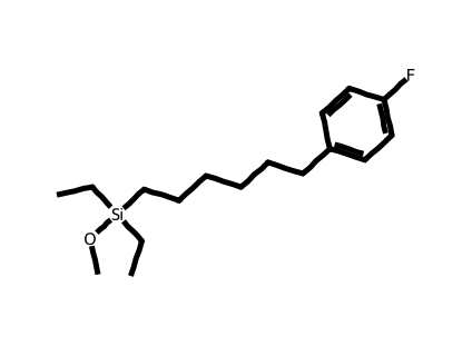 CC[Si](CC)(CCCCCCc1ccc(F)cc1)OC